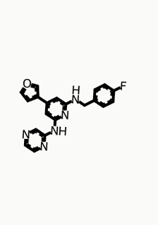 Fc1ccc(CNc2cc(-c3ccoc3)cc(Nc3cnccn3)n2)cc1